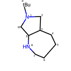 CC(C)(C)N1CC2CCCCNC2C1